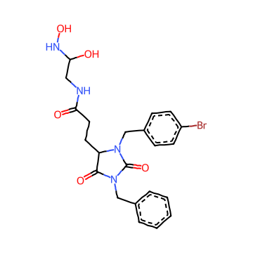 O=C(CCC1C(=O)N(Cc2ccccc2)C(=O)N1Cc1ccc(Br)cc1)NCC(O)NO